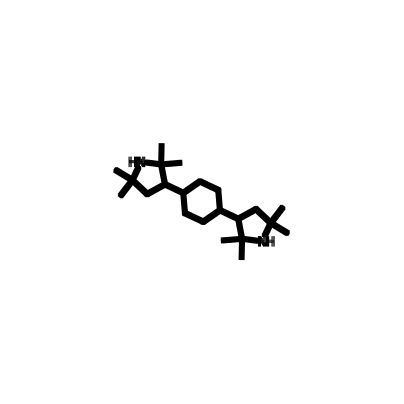 CC1(C)CC(C2CCC(C3CC(C)(C)NC3(C)C)CC2)C(C)(C)N1